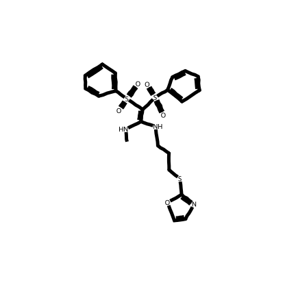 CNC(NCCCSc1ncco1)=C(S(=O)(=O)c1ccccc1)S(=O)(=O)c1ccccc1